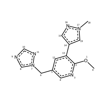 COc1ncc(Cn2cncn2)cc1-c1cnn(C)c1